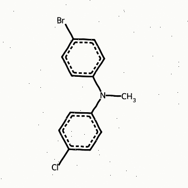 CN(c1ccc(Cl)cc1)c1ccc(Br)cc1